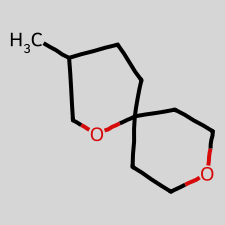 CC1CCC2(CCOCC2)OC1